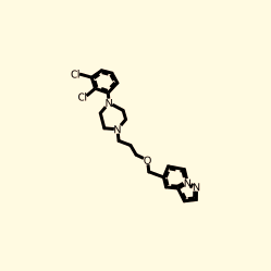 Clc1cccc(N2CCN(CCCOCc3ccn4nccc4c3)CC2)c1Cl